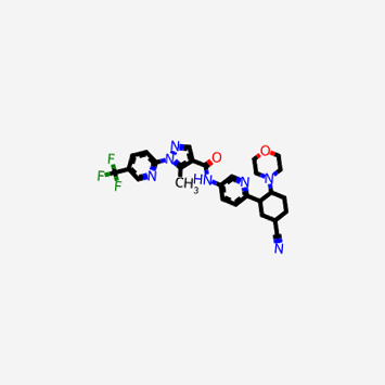 Cc1c(C(=O)Nc2ccc(C3CC(C#N)CCC3N3CCOCC3)nc2)cnn1-c1ccc(C(F)(F)F)cn1